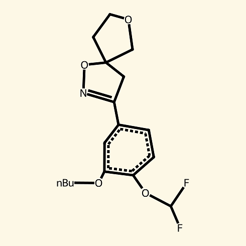 CCCCOc1cc(C2=NOC3(CCOC3)C2)ccc1OC(F)F